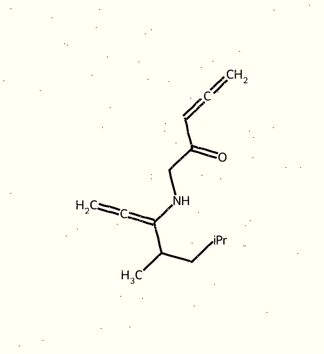 C=C=CC(=O)CNC(=C=C)C(C)CC(C)C